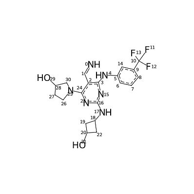 N=Cc1c(Nc2cccc(C(F)(F)F)c2)nc(NC2CC(O)C2)nc1N1CCC(O)C1